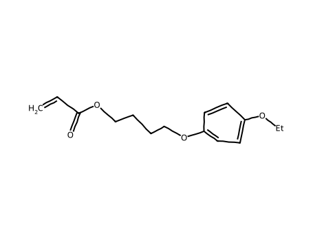 C=CC(=O)OCCCCOc1ccc(OCC)cc1